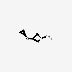 CN1CC(OC2CC2)C1